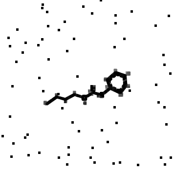 CCCCOPSc1ccccc1